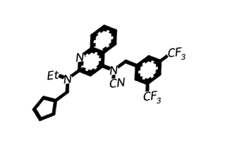 CCN(CC1CCCC1)c1cc(N(C#N)Cc2cc(C(F)(F)F)cc(C(F)(F)F)c2)c2ccccc2n1